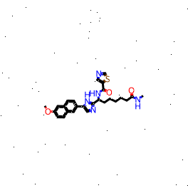 CNC(=O)CCCCCC(NC(=O)c1cncs1)c1ncc(-c2ccc3cc(OC)ccc3c2)[nH]1